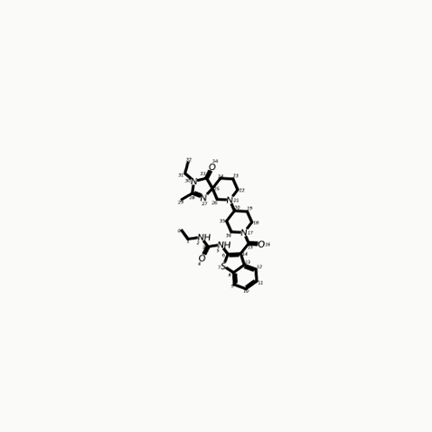 CCNC(=O)Nc1sc2ccccc2c1C(=O)N1CCC(N2CCCC3(C2)N=C(C)N(CC)C3=O)CC1